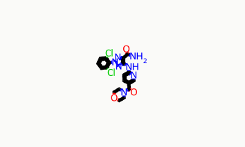 NC(=O)c1nn(-c2c(Cl)cccc2Cl)nc1Nc1ccc(C(=O)N2CCOCC2)cn1